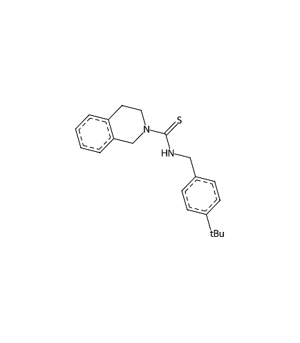 CC(C)(C)c1ccc(CNC(=S)N2CCc3ccccc3C2)cc1